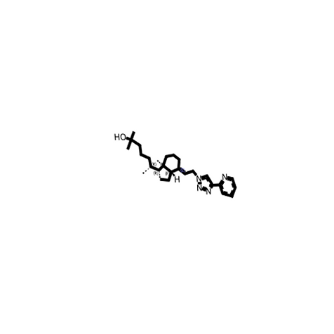 C[C@H](CCCC(C)(C)O)[C@H]1CC[C@H]2/C(=C/Cn3cc(-c4ccccn4)nn3)CCC[C@]12C